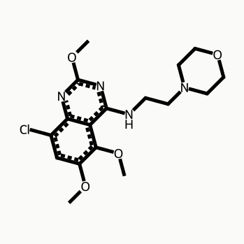 COc1nc(NCCN2CCOCC2)c2c(OC)c(OC)cc(Cl)c2n1